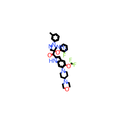 Cc1cccc(N2N=CC(Oc3ccccc3F)(C(=O)c3cc4cc(OC(F)F)c(N5CCC(N6CCOCC6)CC5)cc4[nH]3)C2N)c1